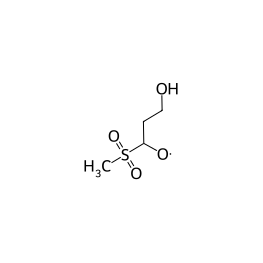 CS(=O)(=O)C([O])CCO